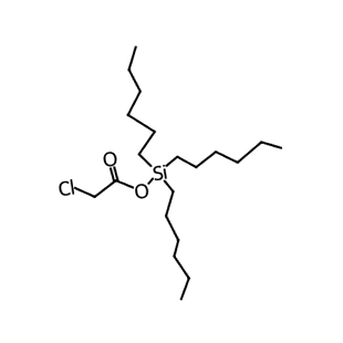 CCCCCC[Si](CCCCCC)(CCCCCC)OC(=O)CCl